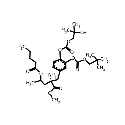 CCCCC(=O)OC(C)C[C@@](N)(Cc1ccc(OC(=O)OCC(C)(C)C)c(OC(=O)OCC(C)(C)C)c1)C(=O)OC